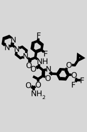 CC(OC(N)=O)c1oc(-c2ccc(OC(F)F)c(OCC3CC3)c2)nc1C(=O)NC(C(=O)N1CCN(c2ncccn2)CC1)c1ccc(F)cc1F